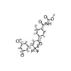 COC(=O)NC(=O)c1ccc(C(=O)C=C(c2cc(Cl)cc(Cl)c2)C(F)(F)F)cc1C